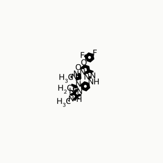 C=CC(=O)Nc1cc(Nc2ncc3cc(Oc4ccc(F)cc4F)c(=O)n(-c4ccn(C)n4)c3n2)ccc1N1C[C@H]2CN(C)C[C@H]2C1